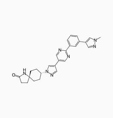 Cn1cc(-c2cccc(-c3ncc(-c4cnn([C@H]5CC[C@]6(CCC(=O)N6)CC5)c4)cn3)c2)cn1